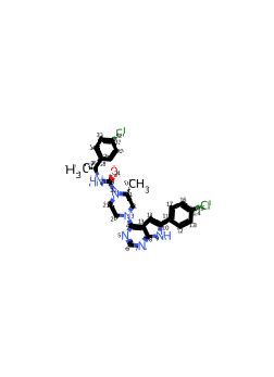 C[C@@H]1CN(c2ncnc3[nH]c(-c4ccc(Cl)cc4)cc23)CCN1C(=O)N[C@H](C)c1ccc(Cl)cc1